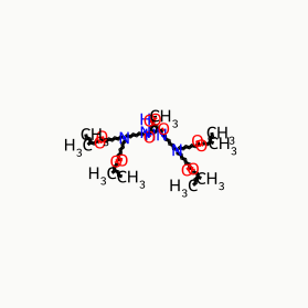 CCCC(C)CCOC(=O)CCCCCCN(CCCCCCNC(=O)C1CC(C(=O)NCCCCCCN(CCCCCCC(=O)OCCC(C)CCC)CCCCCCC(=O)OCCC(C)CCC)CC(C(=O)OC)C1)CCCCCCC(=O)OCCC(C)CCC